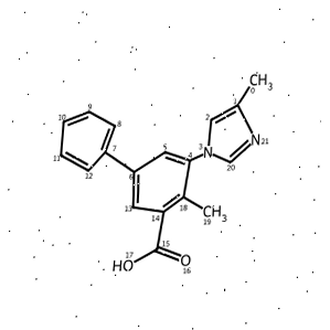 Cc1cn(-c2cc(-c3ccccc3)cc(C(=O)O)c2C)cn1